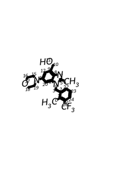 Cc1c(Cn2c(C)nc3c(CO)cc(N4CCOCC4)cc32)cccc1C(F)(F)F